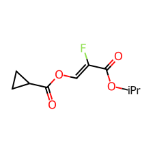 CC(C)OC(=O)C(F)=COC(=O)C1CC1